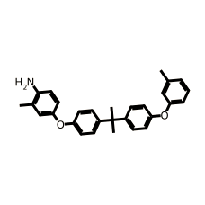 Cc1cccc(Oc2ccc(C(C)(C)c3ccc(Oc4ccc(N)c(C)c4)cc3)cc2)c1